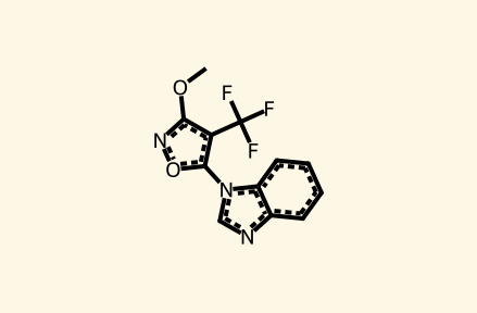 COc1noc(-n2cnc3ccccc32)c1C(F)(F)F